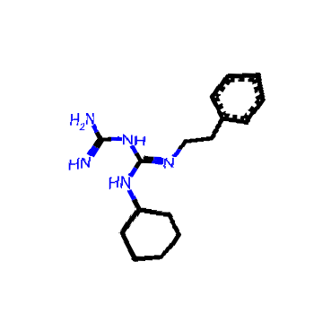 N=C(N)NC(=NCCc1ccccc1)NC1CCCCC1